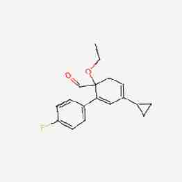 CCOC1(C=O)CC=C(C2CC2)C=C1c1ccc(F)cc1